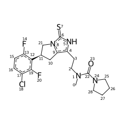 CN(CCc1[nH]c(=S)n2c1C[C@@H](c1c(F)ccc(Cl)c1F)C2)C(=O)N1CCCC1